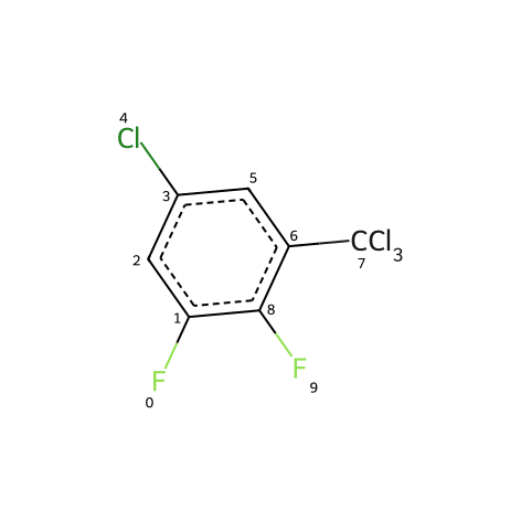 Fc1cc(Cl)cc(C(Cl)(Cl)Cl)c1F